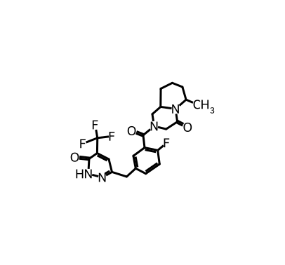 CC1CCCC2CN(C(=O)c3cc(Cc4cc(C(F)(F)F)c(=O)[nH]n4)ccc3F)CC(=O)N12